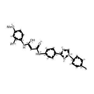 COc1ccc(N/C(O)=C/C(=O)Nc2ccc(-c3ncn(-c4ccc(C)cc4)n3)cc2)c(C(C)C)c1